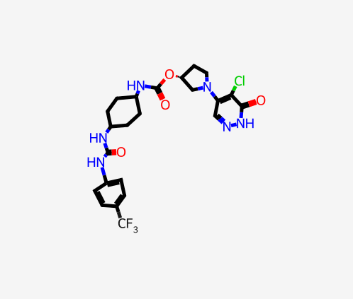 O=C(Nc1ccc(C(F)(F)F)cc1)NC1CCC(NC(=O)O[C@@H]2CCN(c3cn[nH]c(=O)c3Cl)C2)CC1